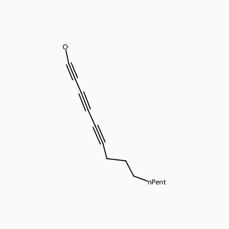 CCCCCCCCC#CC#CC#C[O]